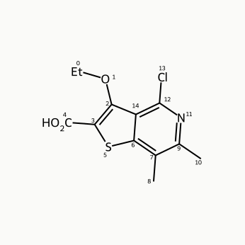 CCOc1c(C(=O)O)sc2c(C)c(C)nc(Cl)c12